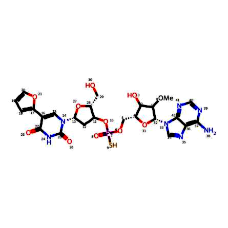 COC1C(O)[C@@H](COP(=O)(S)OC2C[C@H](n3cc(-c4ccco4)c(=O)[nH]c3=O)O[C@@H]2CO)O[C@H]1n1cnc2c(N)ncnc21